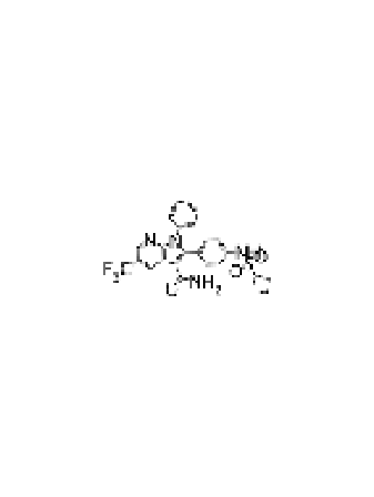 NC(=O)c1c(-c2ccc(NS(=O)(=O)C3CCC3)cc2)n(-c2ccccc2)c2ncc(C(F)(F)F)cc12